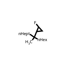 CCCCCCCC(C)(CCCCCC)C1CC1F